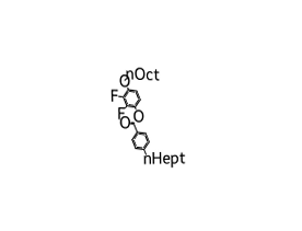 CCCCCCCCOc1ccc(OC(=O)c2ccc(CCCCCCC)cc2)c(F)c1F